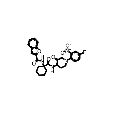 O=C(NC1(C(=O)NC2CCN(c3ccc(F)cc3[N+](=O)[O-])CC2=O)CCCCC1)c1cc2ccccc2o1